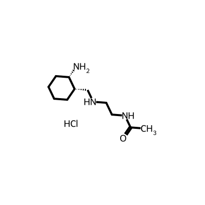 CC(=O)NCCNC[C@@H]1CCCC[C@@H]1N.Cl